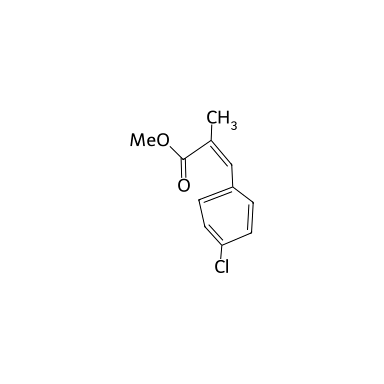 COC(=O)/C(C)=C\c1ccc(Cl)cc1